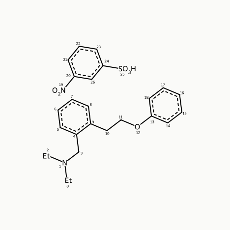 CCN(CC)Cc1ccccc1CCOc1ccccc1.O=[N+]([O-])c1cccc(S(=O)(=O)O)c1